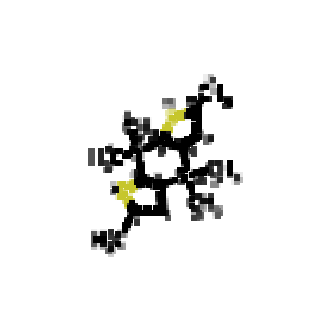 Cc1cc2c(s1)[Si](C)(C)c1sc(C)cc1[Si]2(C)C